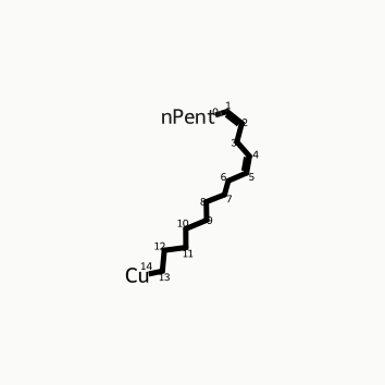 CCCCC/C=C\C/C=C\CCCCCCC[CH2][Cu]